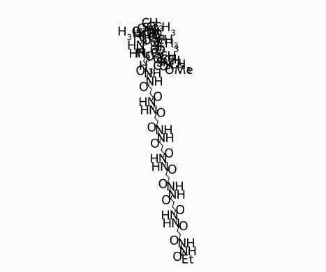 CCC(=O)NCNC(=O)CCC(=O)NCNC(=O)CCC(=O)NCNC(=O)CCC(=O)NCNC(=O)CCC(=O)NCNC(=O)CCC(=O)NCNC(=O)CCC(=O)NCNC(=O)CCC(=O)NCNC(=O)C[Si](C)(C)O[Si](C)(C)O[Si](C)(C)O[Si](C)(C)O[Si](C)(C)O[Si](C)(C)O[Si](C)(C)O[Si](C)(C)OC